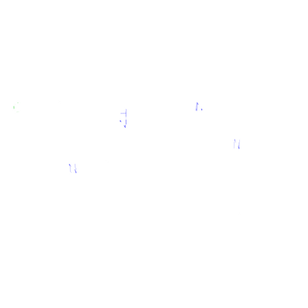 CN(CCCNc1ccnc2cc(Cl)ccc12)CCN1c2ccccc2CCc2ccccc21